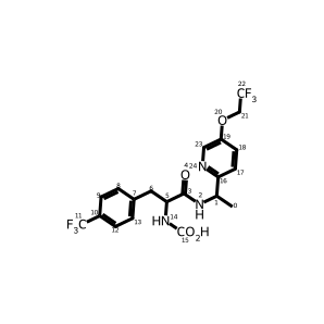 CC(NC(=O)C(Cc1ccc(C(F)(F)F)cc1)NC(=O)O)c1ccc(OCC(F)(F)F)cn1